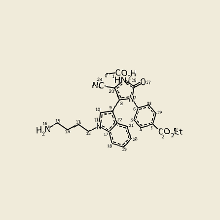 CC(=O)O.CCOC(=O)c1ccc(-n2c(-c3cn(CCCCN)c4ccccc34)c(C#N)[nH]c2=O)cc1